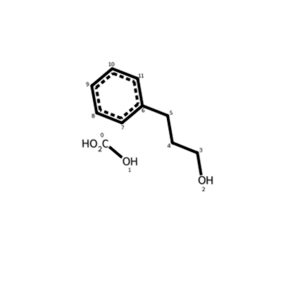 O=C(O)O.OCCCc1ccccc1